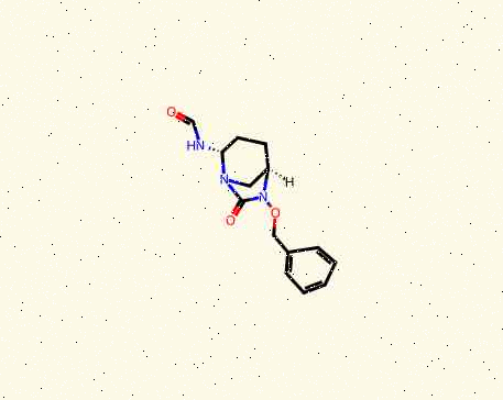 O=CN[C@@H]1CC[C@@H]2CN1C(=O)N2OCc1ccccc1